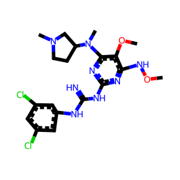 CONc1nc(NC(=N)Nc2cc(Cl)cc(Cl)c2)nc(N(C)C2CCN(C)C2)c1OC